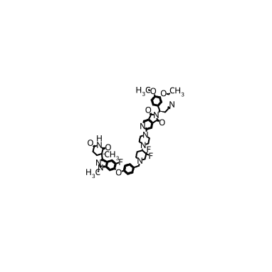 CCOc1cc([C@@H](CC#N)N2C(=O)c3cnc(N4CCN([C@H]5CCN(Cc6ccc(Oc7cc8c(cc7F)c([C@@]7(C)CCC(=O)NC7=O)nn8C)cc6)CC5(F)F)CC4)cc3C2=O)ccc1OC